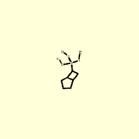 CCO[Si](OCC)(OCC)C1CC2CCCC21